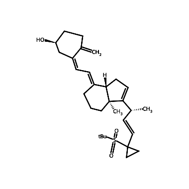 C=C1CC[C@H](O)C/C1=C/C=C1\CCC[C@]2(C)C([C@H](C)/C=C/C3(S(=O)(=O)C(C)(C)C)CC3)=CC[C@@H]12